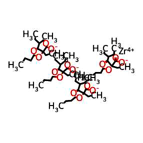 CCCCOC(CC)(C(=O)[O-])C(=O)C(CC)CC.CCCCOC(CC)(C(=O)[O-])C(=O)C(CC)CC.CCCCOC(CC)(C(=O)[O-])C(=O)C(CC)CC.CCCCOC(CC)(C(=O)[O-])C(=O)C(CC)CC.[Zr+4]